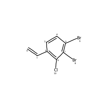 C=Cc1ccc(Br)c(Br)c1Cl